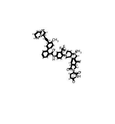 Cc1ccc(-c2ccccc2C(=O)Nc2ccc(N3CCC(N(C)Cc4ccc5c(c4F)CN(C4CCC(=O)NC4=O)C5=O)CC3)c(C(F)(F)F)c2)cc1C#Cc1cnc2cccnn12